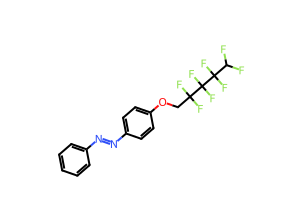 FC(F)C(F)(F)C(F)(F)C(F)(F)COc1ccc(/N=N/c2ccccc2)cc1